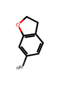 CCCc1ccc2c(c1)OCC2